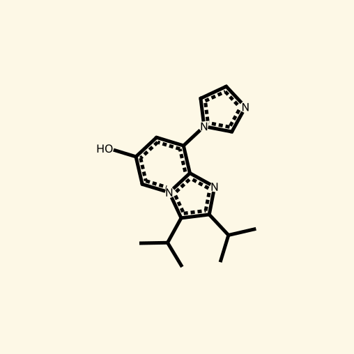 CC(C)c1nc2c(-n3ccnc3)cc(O)cn2c1C(C)C